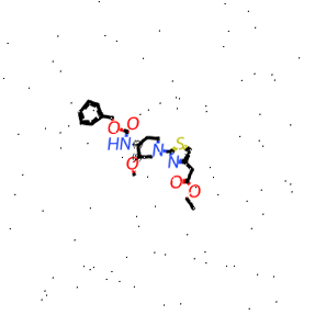 CCOC(=O)Cc1csc(N2CC[C@@H](NC(=O)OCc3ccccc3)[C@@H](OC)C2)n1